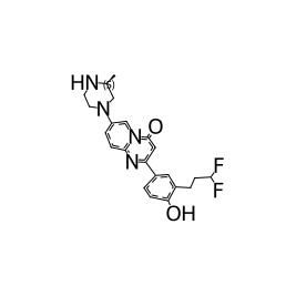 C[C@H]1CN(c2ccc3nc(-c4ccc(O)c(CCC(F)F)c4)cc(=O)n3c2)CCN1